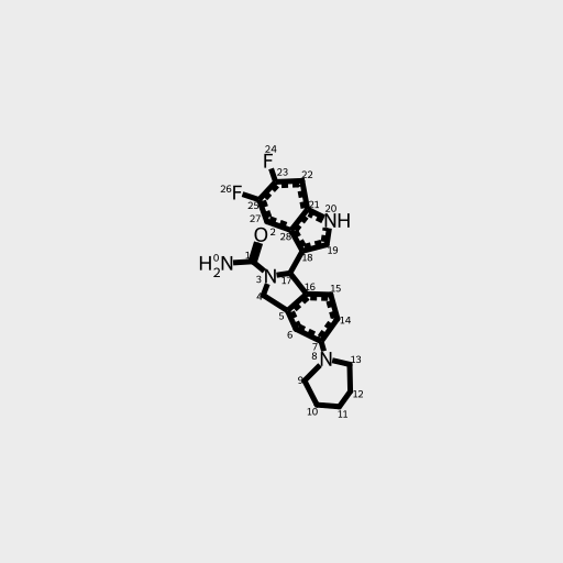 NC(=O)N1Cc2cc(N3CCCCC3)ccc2C1c1c[nH]c2cc(F)c(F)cc12